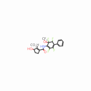 O=C(O)C1=C(C(=O)NC2=C(F)C(F)=C(c3ccccc3)C(F)C2(F)OC(F)(F)F)CCC1O